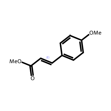 COC(=O)/C=C/c1c[c]c(OC)cc1